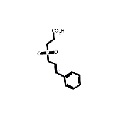 O=C(O)CCS(=O)(=O)C/C=C/c1ccccc1